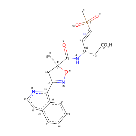 CC(C)[C@@]1(C(=O)N[C@H](/C=C/S(C)(=O)=O)CC(=O)O)CC(c2nccc3ccccc23)=NO1